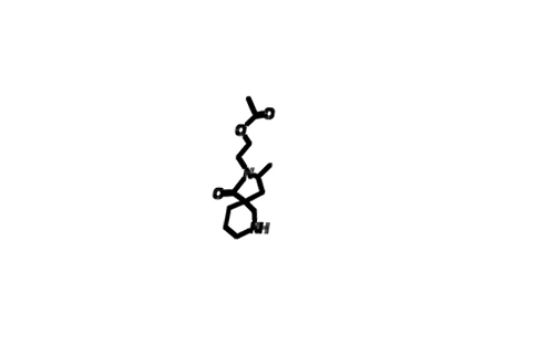 CC(=O)OCCN1C(=O)C2(CCCNC2)CC1C